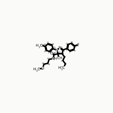 CCCCC1C(c2ccc(F)cc2)=NN(c2ccc(C)cc2)C1(C)C(=O)NCCCOC